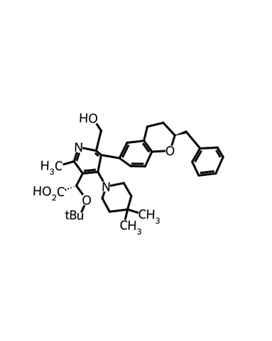 Cc1nc(CO)c(-c2ccc3c(c2)CC[C@@H](Cc2ccccc2)O3)c(N2CCC(C)(C)CC2)c1[C@H](OC(C)(C)C)C(=O)O